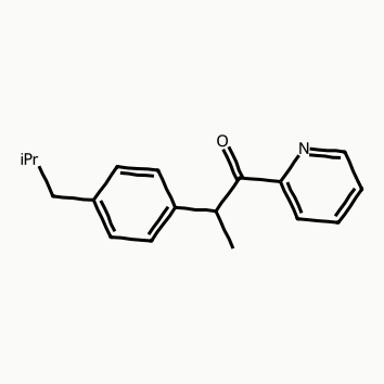 CC(C)Cc1ccc(C(C)C(=O)c2ccccn2)cc1